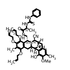 C=CCOc1c(C)c(OCC=C)c(OCC=C)c2c1C[C@H]1[C@H]3c4c(cc(C)c(OC)c4O)C[C@@H]([C@H](C#N)N1[C@H]2CNC(=O)[C@H](C)NC(=S)Nc1ccccc1)N3C